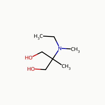 CCN(C)C(C)(CO)CO